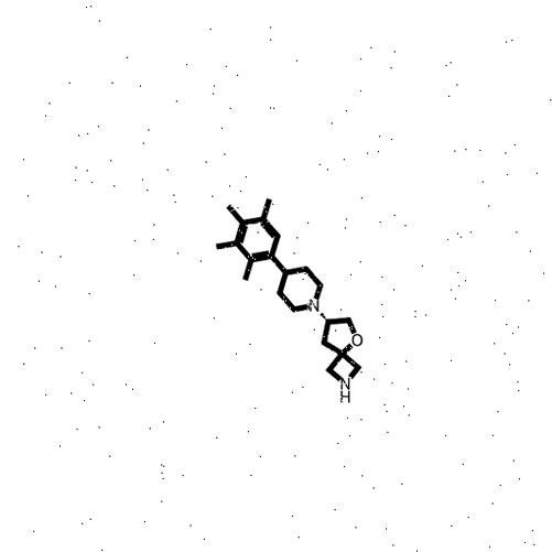 Cc1cc(C2CCN([C@@H]3COC4(CNC4)C3)CC2)c(C)c(C)c1C